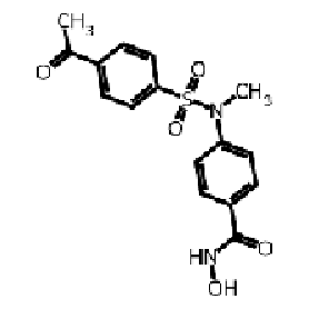 CC(=O)c1ccc(S(=O)(=O)N(C)c2ccc(C(=O)NO)cc2)cc1